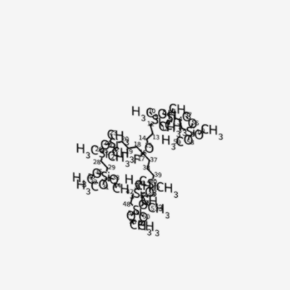 CO[Si](CC[Si](C)(C)O[Si](C)(C)CCCOC(F)(CCC[Si](C)(C)O[Si](C)(C)CC[Si](OC)(OC)OC)CCC[Si](C)(C)O[Si](C)(C)CC[Si](OC)(OC)OC)(OC)OC